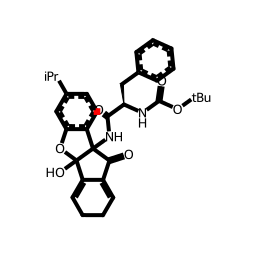 CC(C)c1ccc2c(c1)OC1(O)C3=CCCC=C3C(=O)C21NC(=O)[C@@H](Cc1ccccc1)NC(=O)OC(C)(C)C